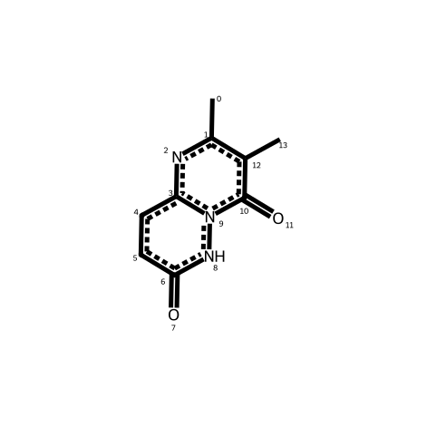 Cc1nc2ccc(=O)[nH]n2c(=O)c1C